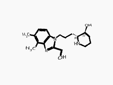 Cc1ccc2c(nc(CO)n2CCC[C@H]2NCCC[C@@H]2O)c1C